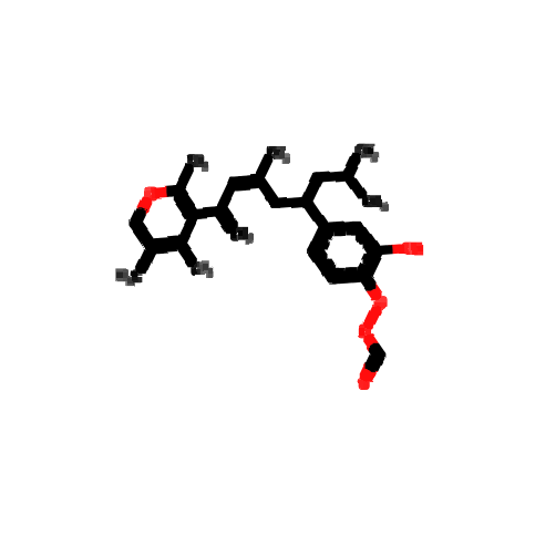 C=C(/C=C(/C)CC(CC(C)C)c1ccc(OOC=O)c(O)c1)C1=C(C)OCC(C)=C1C